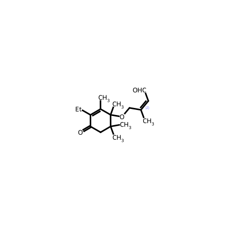 CCC1=C(C)C(C)(OC/C(C)=C\C=O)C(C)(C)CC1=O